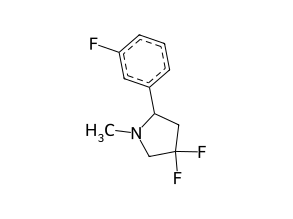 CN1CC(F)(F)CC1c1cccc(F)c1